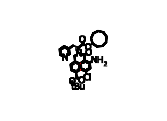 CC(C)(C)OC(=O)c1ccc(CN(C(=O)c2ccc(Cl)cc2N)[C@H](Cc2cccnc2)C(=O)OC2CCCCCCCC2)cc1